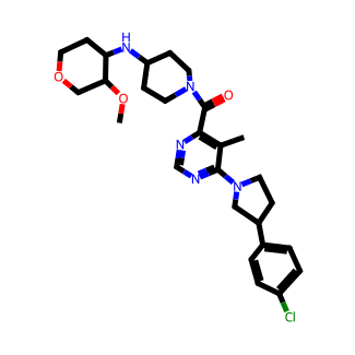 COC1COCCC1NC1CCN(C(=O)c2ncnc(N3CCC(c4ccc(Cl)cc4)C3)c2C)CC1